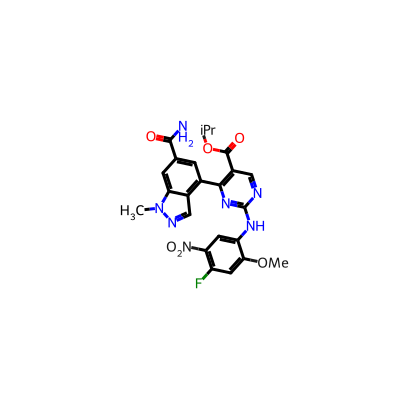 COc1cc(F)c([N+](=O)[O-])cc1Nc1ncc(C(=O)OC(C)C)c(-c2cc(C(N)=O)cc3c2cnn3C)n1